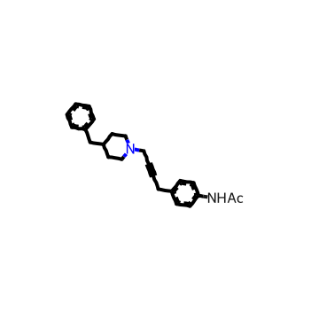 CC(=O)Nc1ccc(CC#CCN2CCC(Cc3ccccc3)CC2)cc1